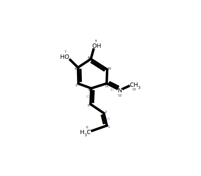 C\C=C/C=C1/C=C(O)C(O)=C/C1=N\C